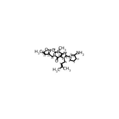 CC(C)=CCn1c(N2CCCC(N)C2)nc2c1c(=O)n(Cc1cc(C)on1)c(=O)n2C